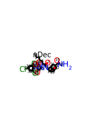 CCCCCCCCCCCCCCC(C(=O)NC1C2CC3CC1CC(C(N)=O)(C3)C2)N1CC(=O)N(c2c(Cl)cc(Cl)cc2Cl)S1(=O)=O